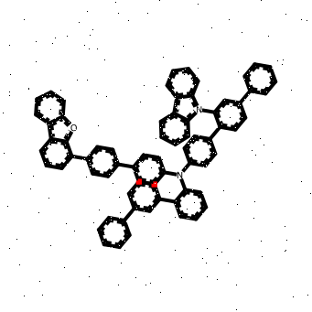 c1ccc(-c2cccc(-c3ccccc3N(c3ccc(-c4ccc(-c5cccc6c5oc5ccccc56)cc4)cc3)c3ccc(-c4ccc(-c5ccccc5)cc4-n4c5ccccc5c5ccccc54)cc3)c2)cc1